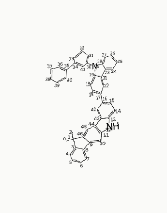 CC1(C)c2ccccc2-c2cc3[nH]c4ccc(-c5ccc6c(c5)c5ccccc5n6-c5cccc(-c6ccccc6)c5)cc4c3cc21